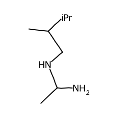 CC(N)NCC(C)C(C)C